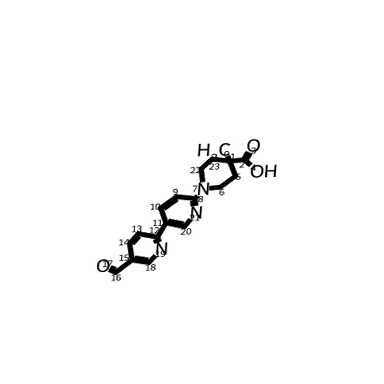 CC1(C(=O)O)CCN(c2ccc(-c3ccc(C=O)cn3)cn2)CC1